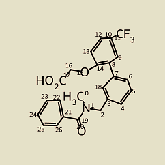 CN(Cc1cccc(-c2cc(C(F)(F)F)ccc2OCC(=O)O)c1)C(=O)c1ccccc1